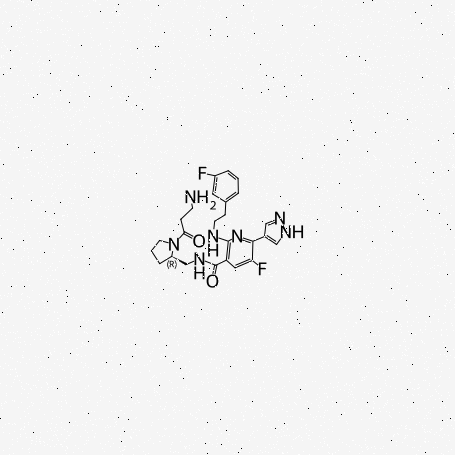 NCCC(=O)N1CCC[C@@H]1CNC(=O)c1cc(F)c(-c2cn[nH]c2)nc1NCCc1cccc(F)c1